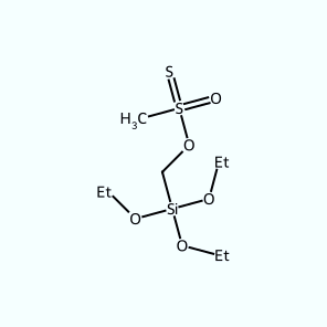 CCO[Si](COS(C)(=O)=S)(OCC)OCC